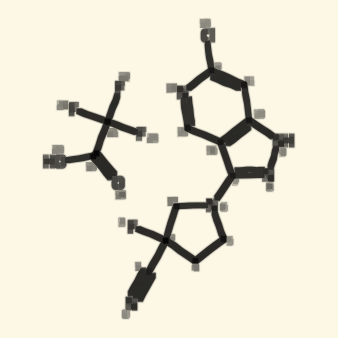 N#CC1(F)CCN(c2n[nH]c3cc(Cl)ncc23)C1.O=C(O)C(F)(F)F